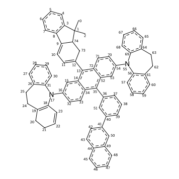 CC1(C)c2ccccc2C2=CC=C(c3c4cc(N5C6=C(CCC=C6)CCc6ccccc65)ccc4c(-c4cccc(-c5ccc6ccccc6c5)c4)c4cc(N5c6ccccc6CCc6ccccc65)ccc34)CC21